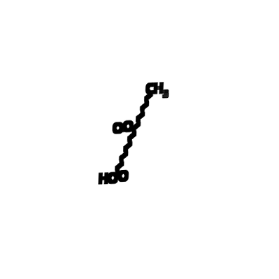 CCCCCCCCC(CCCCCCCCC(=O)O)OC=O